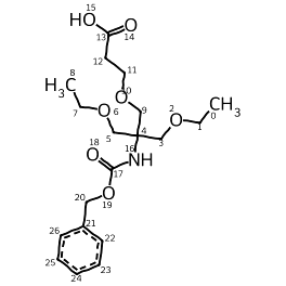 CCOCC(COCC)(COCCC(=O)O)NC(=O)OCc1ccccc1